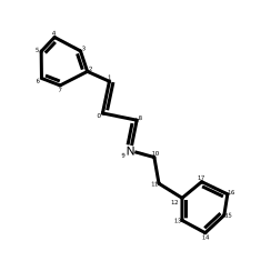 C(=C\c1ccccc1)/C=N/CCc1ccccc1